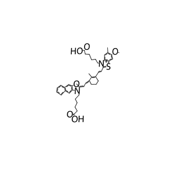 COc1cc2sc(/C=C/C3=C(C)C(=C/C=C4\Oc5cc6ccccc6cc5N4CCCCCC(=O)O)/CCC3)[n+](CCCCCC(=O)O)c2cc1C